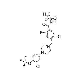 CS(=O)(=O)NC(=O)c1cc(Cl)c(CN2CCN(c3ccc(OC(F)(F)F)c(Cl)c3)CC2)cc1F